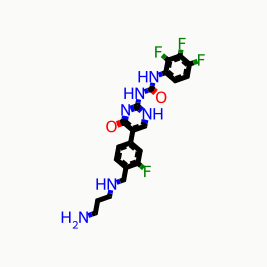 NCCCNCc1ccc(-c2c[nH]c(NC(=O)Nc3ccc(F)c(F)c3F)nc2=O)cc1F